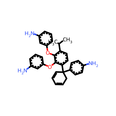 CC(C)c1ccc(C2(c3ccc(N)cc3)C=CC=CC2)c(Oc2cccc(N)c2)c1Oc1cccc(N)c1